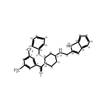 O=C(c1cc(C(F)(F)F)cc(C(F)(F)F)c1)N1CC[C@H](NCc2cc3ccccc3[nH]2)C[C@H]1Cc1ccccc1